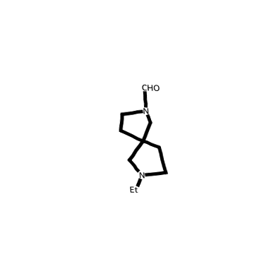 CCN1CCC2(CCN(C=O)C2)C1